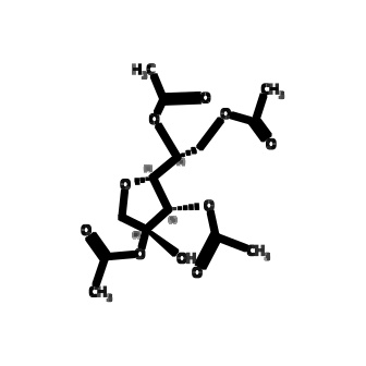 CC(=O)OC[C@@H](OC(C)=O)[C@H]1OC[C@@](O)(OC(C)=O)[C@H]1OC(C)=O